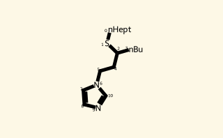 CCCCCCCSC(CCCC)CCn1ccnc1